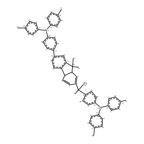 CCC(C)(C1=CC2C(C=C1)c1ccc(-c3ccc(N(c4ccc(C)cc4)c4ccc(C)cc4)cc3)cc1C2(C)C)c1ccc(N(c2ccc(C)cc2)c2ccc(C)cc2)cc1